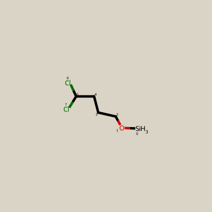 [SiH3]OCCCC(Cl)Cl